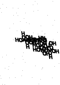 NCC(=O)O.O=C(O)[C@@H]1CCCN1.OC[C@@H](O)[C@@H](O)[C@H](O)[C@@H](O)CO.OC[C@H]1O[C@H](O[C@H]2[C@H](O)[C@@H](O)[C@H](O)O[C@@H]2CO)[C@H](O)[C@@H](O)[C@@H]1O